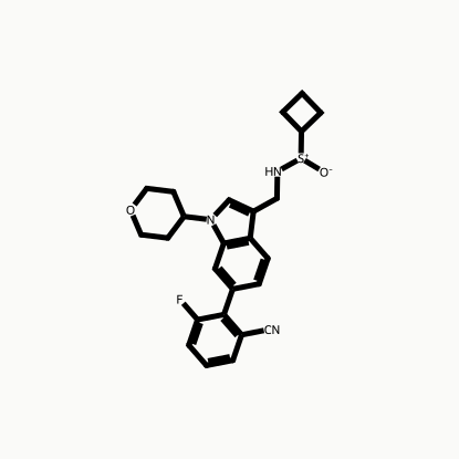 N#Cc1cccc(F)c1-c1ccc2c(CN[S+]([O-])C3CCC3)cn(C3CCOCC3)c2c1